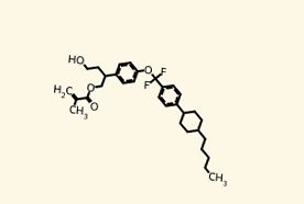 C=C(C)C(=O)OCC(CCO)c1ccc(OC(F)(F)c2ccc(C3CCC(CCCCC)CC3)cc2)cc1